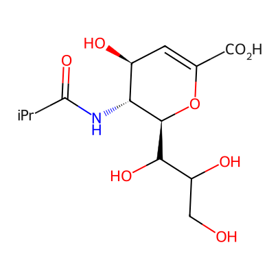 CC(C)C(=O)N[C@@H]1[C@@H](O)C=C(C(=O)O)O[C@H]1C(O)C(O)CO